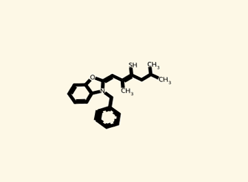 CC(/C=C1/OC2C=CC=CC2N1Cc1c#cccc1)=C(/S)CC(C)C